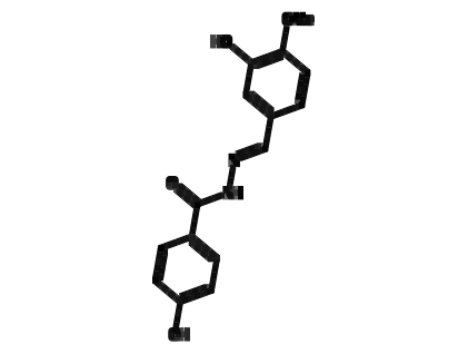 COc1ccc(C=NNC(=O)c2ccc(O)cc2)cc1O